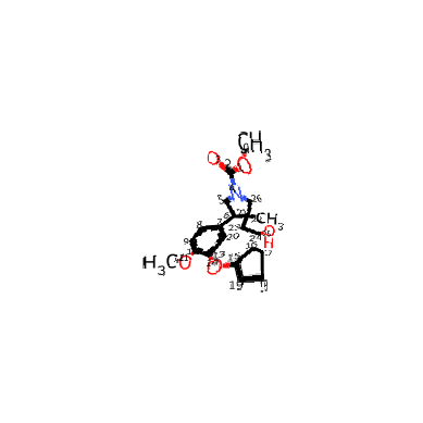 COC(=O)N1CC(c2ccc(OC)c(OC3CCCC3)c2)C(C)(CCO)C1